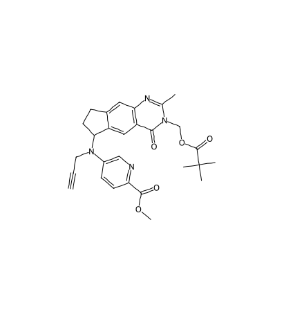 C#CCN(c1ccc(C(=O)OC)nc1)C1CCc2cc3nc(C)n(COC(=O)C(C)(C)C)c(=O)c3cc21